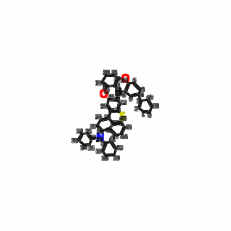 c1ccc(-c2ccc3c(c2)B2c4cc5c(cc4Oc4cccc(c42)O3)-c2ccc(N(c3ccccc3)c3ccccc3)c3cccc(c23)S5)cc1